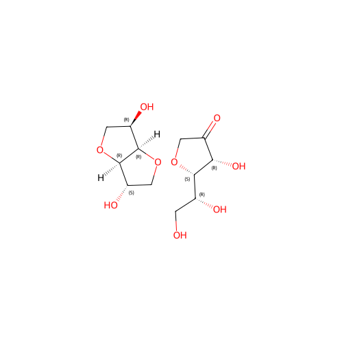 O=C1CO[C@@H]([C@H](O)CO)[C@H]1O.O[C@@H]1CO[C@H]2[C@@H]1OC[C@@H]2O